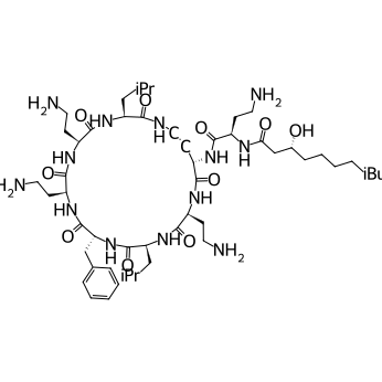 CCC(C)CCCC[C@@H](O)CC(=O)N[C@H](CCN)C(=O)N[C@H]1CCNC(=O)[C@H](CC(C)C)NC(=O)[C@H](CCN)NC(=O)[C@H](CCN)NC(=O)[C@@H](Cc2ccccc2)NC(=O)[C@H](CC(C)C)NC(=O)[C@H](CCN)NC1=O